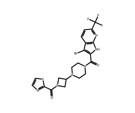 O=C(c1nccs1)N1CC(N2CCN(C(=O)c3[nH]c4nc(C(F)(F)F)ccc4c3Br)CC2)C1